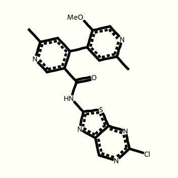 COc1cnc(C)cc1-c1cc(C)ncc1C(=O)Nc1nc2cnc(Cl)nc2s1